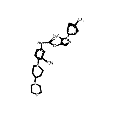 Cc1c(OC(=O)Nc2ccc(N3CCC(N4CCOCC4)CC3)c(C#N)c2)cnn1-c1ccc(C(F)(F)F)cc1